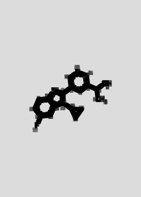 CC(O)c1cc(-c2nc3ccc(F)cc3n2C2CC2)cnn1